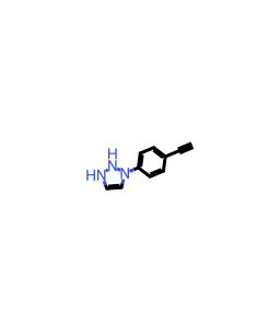 C#Cc1ccc(N2C=CNN2)cc1